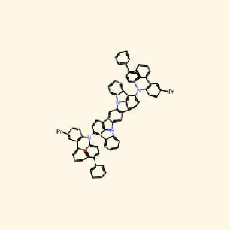 CC(C)c1ccc(N(c2ccc(-c3ccccc3)cc2)c2ccc3c4cc5c(cc4n4c6ccccc6c2c34)c2ccc(N(c3ccc(-c4ccccc4)cc3)c3ccc(C(C)C)cc3-c3ccccc3)c3c4ccccc4n5c23)c(-c2ccccc2)c1